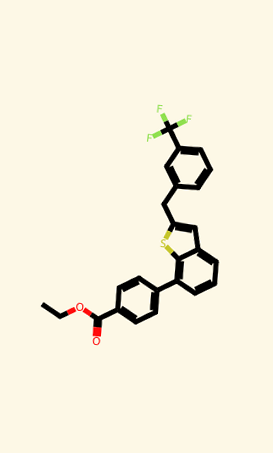 CCOC(=O)c1ccc(-c2cccc3cc(Cc4cccc(C(F)(F)F)c4)sc23)cc1